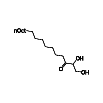 CCCCCCCCCCCCCCCC(=O)C(O)CO